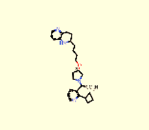 O=C(O)C(c1cccnc1C1CCC1)N1CC[C@@H](OCCCCC2CCc3ncccc3N2)C1